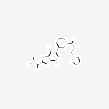 CC(Cn1cccn1)C(=O)N1CCC=C(c2cc(Cl)c3cc(C(=O)N(C)C)[nH]c3c2F)C1